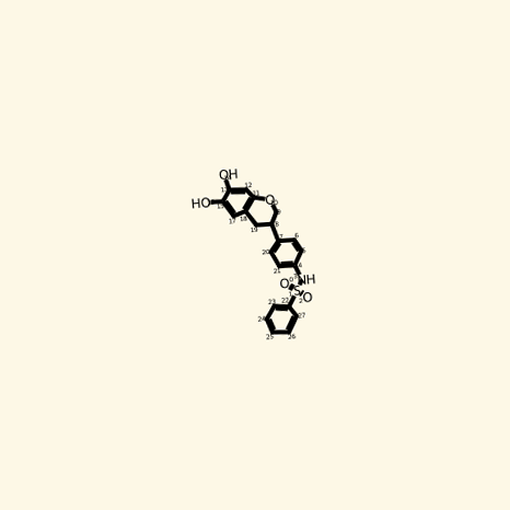 O=S(=O)(Nc1ccc(C2COc3cc(O)c(O)cc3C2)cc1)c1ccccc1